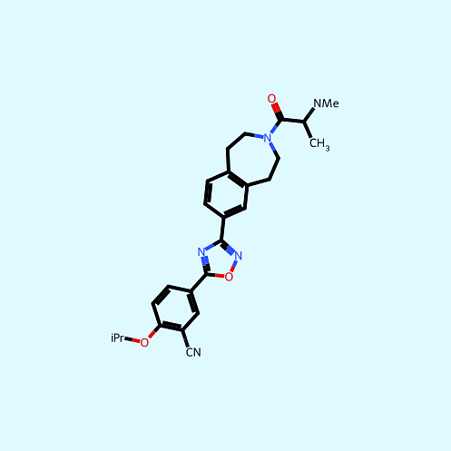 CNC(C)C(=O)N1CCc2ccc(-c3noc(-c4ccc(OC(C)C)c(C#N)c4)n3)cc2CC1